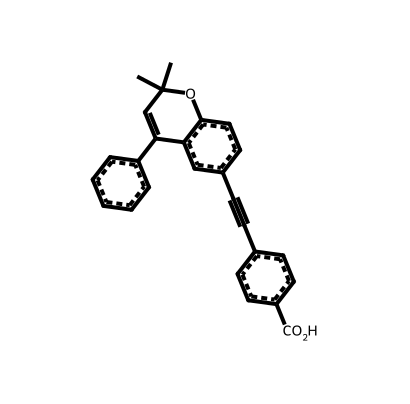 CC1(C)C=C(c2ccccc2)c2cc(C#Cc3ccc(C(=O)O)cc3)ccc2O1